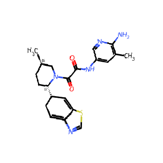 Cc1cc(NC(=O)C(=O)N2C[C@H](C)CC[C@H]2C2C=c3scnc3=CC2)cnc1N